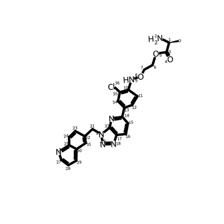 C[C@H](N)C(=O)OCCONc1ccc(-c2ccc3nnn(Cc4ccc5ncccc5c4)c3n2)cc1Cl